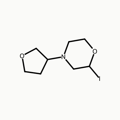 IC1CN(C2CCOC2)CCO1